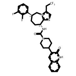 O=C(N[C@@H]1CC[C@@H](c2cccc(F)c2F)Cn2c(CC(F)(F)F)cnc21)N1CCC(c2cc3ccccc3[nH]c2=O)CC1